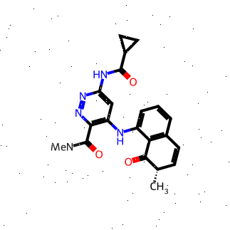 CNC(=O)c1nnc(NC(=O)C2CC2)cc1Nc1cccc2c1C(=O)[C@@H](C)C=C2